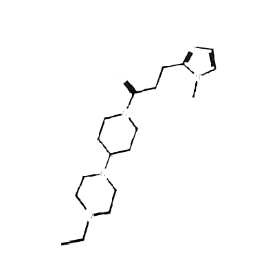 CCN1CCN(C2CCN(C(=O)CCc3nccn3C)CC2)CC1